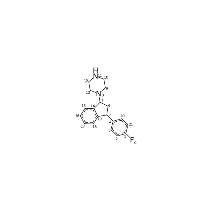 Fc1ccc(C2CC(N3CCNCC3)c3ccccc32)cc1